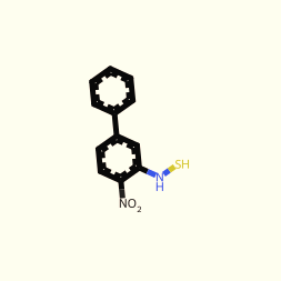 O=[N+]([O-])c1ccc(-c2ccccc2)cc1NS